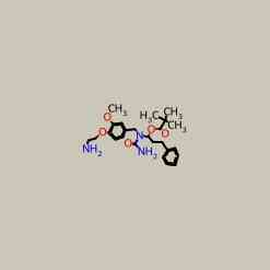 COc1cc(CN(C(N)=O)C(CCc2ccccc2)OC(=O)C(C)(C)C)ccc1OCCN